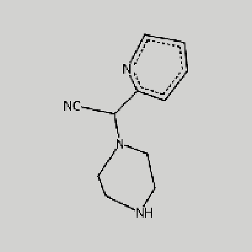 N#CC(c1ccccn1)N1CCNCC1